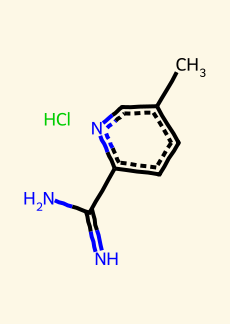 Cc1ccc(C(=N)N)nc1.Cl